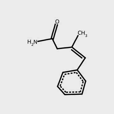 C/C(=C/c1ccccc1)CC(N)=O